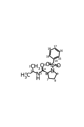 CC(C)NC(=O)[C@@H]1CCCN1S(=O)(=O)c1ccccc1